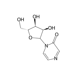 O=c1cnccn1C1O[C@H](CO)[C@@H](O)[C@H]1O